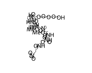 CCC(C)C(C(CC(=O)N1CCC[C@H]1C(OC)C(C)C(=O)NC(Cc1ccccc1)C(=O)Nc1ccc(CNC(=O)CCCCCN2C(=O)C=CC2=O)cc1)OC)N(C)C(=O)C(NC(=O)[C@@H]1[C@H]2CC[C@H](C2)N1C(=O)CCOCCOCCOCCOCCO)C(C)C